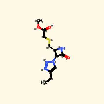 CCc1cn([C@@H]2C(=O)N[C@H]2CSCC(=O)OC)nn1